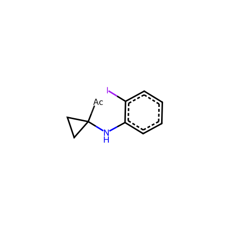 CC(=O)C1(Nc2ccccc2I)CC1